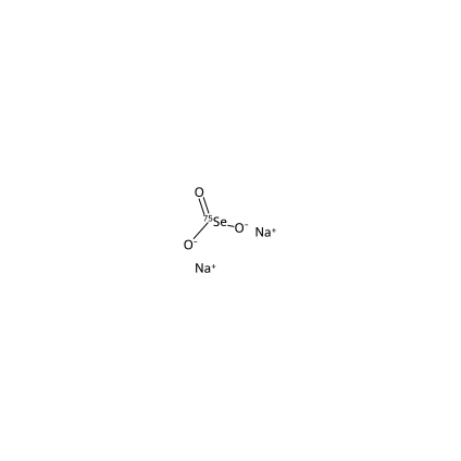 O=[75Se]([O-])[O-].[Na+].[Na+]